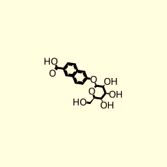 O=C(O)c1ccc2cc(O[C@@H]3O[C@H](CO)[C@@H](O)[C@H](O)[C@H]3O)ccc2c1